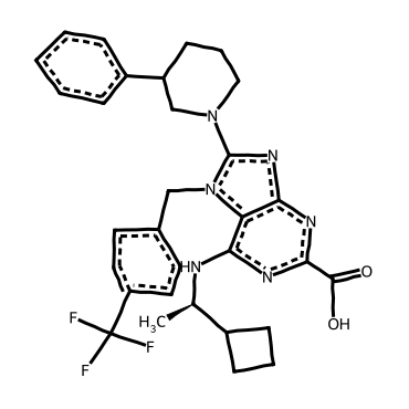 C[C@@H](Nc1nc(C(=O)O)nc2nc(N3CCCC(c4ccccc4)C3)n(Cc3ccc(C(F)(F)F)cc3)c12)C1CCC1